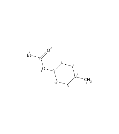 CCC(=O)OC1CCN(C)CC1